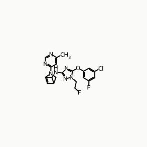 Cc1cc(N2CC3C=C2C3Nc2nc(Oc3cc(F)cc(Cl)c3)n(CCF)n2)ncn1